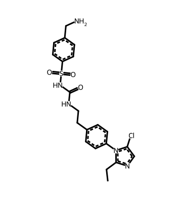 CCc1ncc(Cl)n1-c1ccc(CCNC(=O)NS(=O)(=O)c2ccc(CN)cc2)cc1